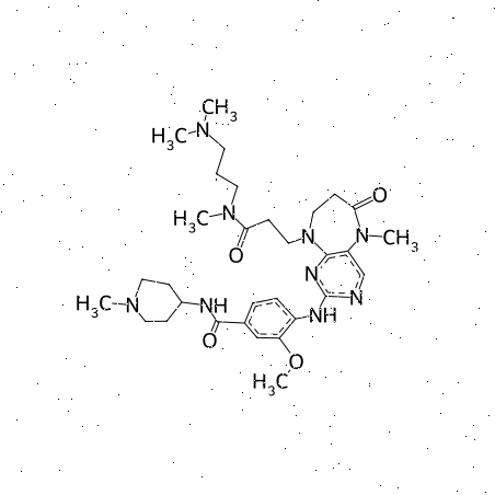 COc1cc(C(=O)NC2CCN(C)CC2)ccc1Nc1ncc2c(n1)N(CCC(=O)N(C)CCCN(C)C)CCC(=O)N2C